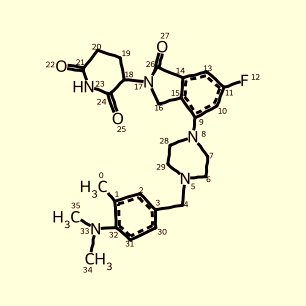 Cc1cc(CN2CCN(c3cc(F)cc4c3CN(C3CCC(=O)NC3=O)C4=O)CC2)ccc1N(C)C